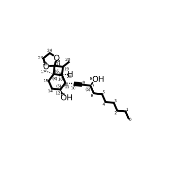 CCCCCCC[C@H](O)C#C[C@@H]1[C@@H](O)CC[C@]2(C)[C@H]1C(C)C21OCCO1